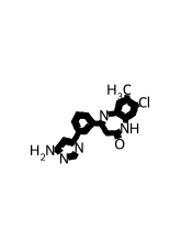 Cc1cc2c(cc1Cl)NC(=O)CC(c1cccc(-c3cc(N)ncn3)c1)=N2